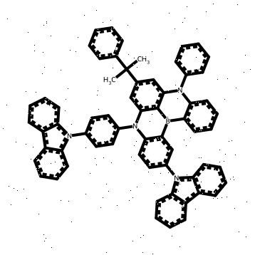 CC(C)(c1ccccc1)c1cc2c3c(c1)N(c1ccc(-n4c5ccccc5c5ccccc54)cc1)c1ccc(-n4c5ccccc5c5ccccc54)cc1B3c1ccccc1N2c1ccccc1